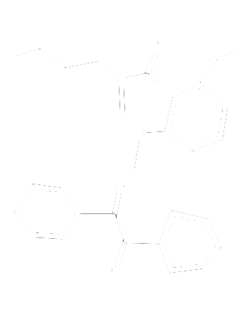 CCCC[PH](=O)C(=O)c1c(OC)cccc1OC.O=C(C(=O)c1ccccc1)c1ccccc1